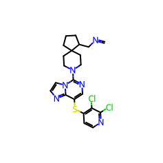 C=NCC1CCCC12CCN(c1ncc(Sc3ccnc(Cl)c3Cl)c3nccn13)CC2